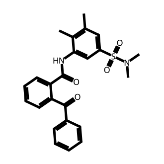 Cc1cc(S(=O)(=O)N(C)C)cc(NC(=O)c2ccccc2C(=O)c2ccccc2)c1C